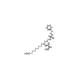 CCCCCCCCCCCCCCCCCCOCC(COP(=O)([O-])OCC[n+]1ccccc1)OC(=O)NCCCC